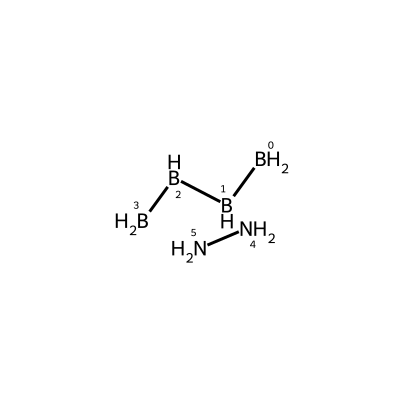 BBBB.NN